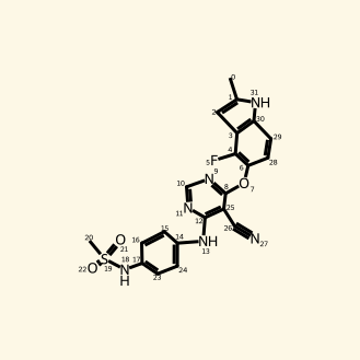 Cc1cc2c(F)c(Oc3ncnc(Nc4ccc(NS(C)(=O)=O)cc4)c3C#N)ccc2[nH]1